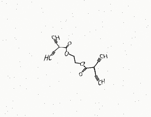 C#CC(C#C)C(=O)OCCOC(=O)C(C#C)C#C